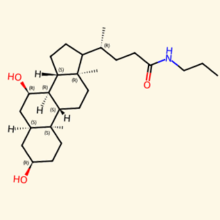 CCCNC(=O)CC[C@@H](C)C1CC[C@H]2[C@@H]3[C@H](O)C[C@@H]4C[C@H](O)CC[C@]4(C)[C@H]3CC[C@]12C